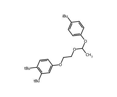 CCC(C)c1ccc(OC(C)OCCOc2ccc(C(C)(C)C)c(C(C)(C)C)c2)cc1